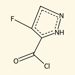 O=C(Cl)c1[nH]ncc1F